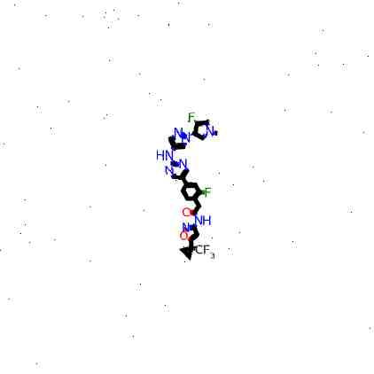 CN1C[C@@H](F)[C@@H](n2cc(Nc3ncc(-c4ccc(CC(=O)Nc5cc(C6(C(F)(F)F)CC6)on5)c(F)c4)cn3)cn2)C1